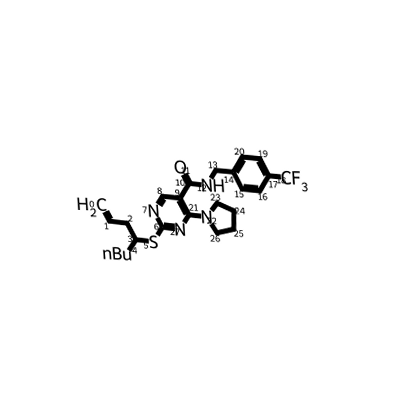 C=CCC(CCCC)Sc1ncc(C(=O)NCc2ccc(C(F)(F)F)cc2)c(N2CCCC2)n1